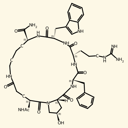 CC(=O)N[C@H]1CCC(=O)NCCCC[C@@H](C(N)=O)NC(=O)[C@H](Cc2c[nH]c3ccccc23)NC(=O)[C@H](CCCNC(=N)N)NC(=O)[C@@H](Cc2ccccc2)NC(=O)[C@@H]2C[C@@H](O)CN2C1=O